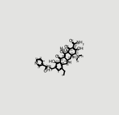 CCc1cc(CNC(=O)c2cccnc2)c(O)c2c1C[C@@H]1C[C@H]3[C@@H](N(C)C)C(O)=C(C(N)=O)C(=O)[C@@]3(O)C(O)=C1C2=O